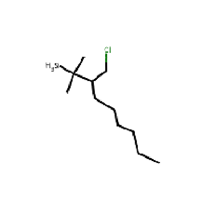 CCCCCCC(CCl)C(C)(C)[SiH3]